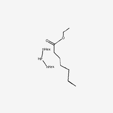 CCCCCCC(=O)OCC.CCCCCCPCCCCCC